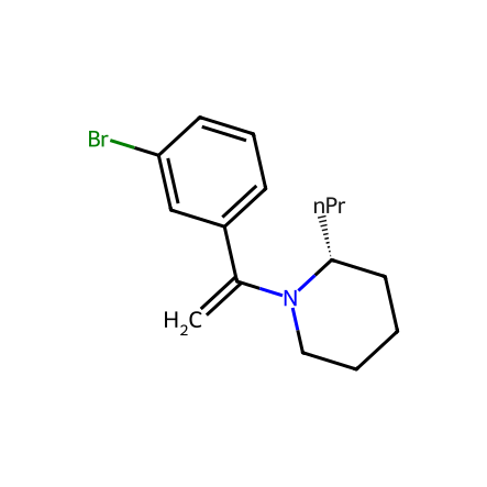 C=C(c1cccc(Br)c1)N1CCCC[C@H]1CCC